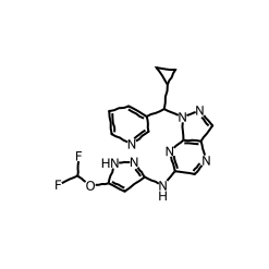 FC(F)Oc1cc(Nc2cnc3cnn(C(c4cccnc4)C4CC4)c3n2)n[nH]1